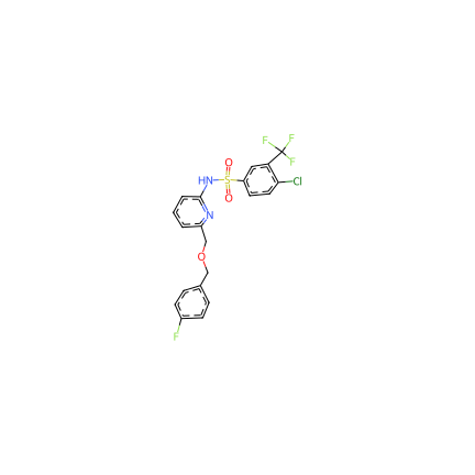 O=S(=O)(Nc1cccc(COCc2ccc(F)cc2)n1)c1ccc(Cl)c(C(F)(F)F)c1